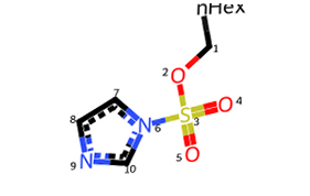 CCCCCCCOS(=O)(=O)n1ccnc1